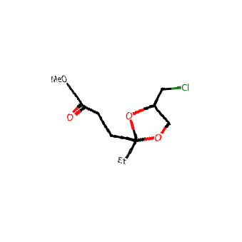 CCC1(CCC(=O)OC)OCC(CCl)O1